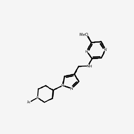 COc1cncc(NCc2cnn(C3CCN(C(C)=O)CC3)c2)n1